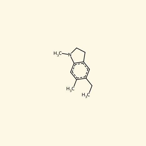 CCc1cc2c(cc1C)N(C)CC2